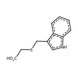 O=C(O)CSCc1c[nH]c2ccccc12